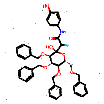 O=C(Nc1ccc(O)cc1)C(F)[C@]1(O)O[C@H](COCc2ccccc2)[C@@H](OCc2ccccc2)[C@H](OCc2ccccc2)[C@H]1OCc1ccccc1